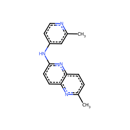 Cc1cc(Nc2ccc3nc(C)ccc3n2)ccn1